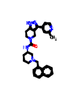 Cc1cc(-c2n[nH]c3c2CN(C(=O)N[C@@H]2CCCN(Cc4cccc5ccccc45)C2)CC3)ccn1